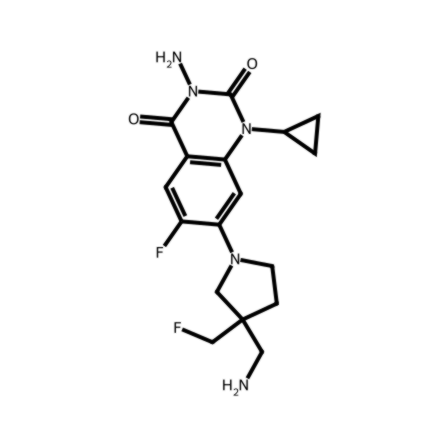 NCC1(CF)CCN(c2cc3c(cc2F)c(=O)n(N)c(=O)n3C2CC2)C1